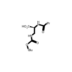 CC(C)C(=O)N[C@@H](CNC(=O)OC(C)(C)C)C(=O)O